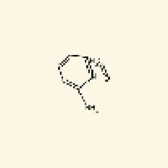 C=O.Nc1ncccn1